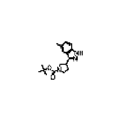 Cc1ccc2[nH]nc(C3CCN(C(=O)OC(C)(C)C)C3)c2c1